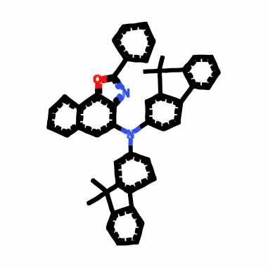 CC1(C)c2ccccc2-c2ccc(N(c3ccc4c(c3)C(C)(C)c3ccccc3-4)c3cc4ccccc4c4oc(-c5ccccc5)nc34)cc21